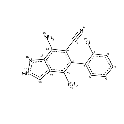 N#Cc1c(-c2ccccc2Cl)c(N)c2c[nH]nc2c1N